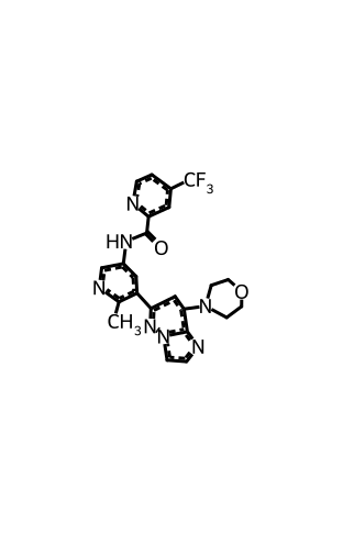 Cc1ncc(NC(=O)c2cc(C(F)(F)F)ccn2)cc1-c1cc(N2CCOCC2)c2nccn2n1